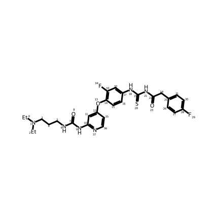 CCN(CC)CCCNC(=O)Nc1cc(Oc2ccc(NC(=S)NC(=O)Cc3ccc(F)cc3)cc2F)ccn1